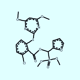 COc1cc(OC)nc(Sc2cccc(Cl)c2C(=O)OC(c2ccco2)P(=O)(OC)OC)n1